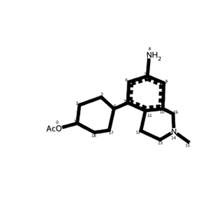 CC(=O)OC1CCC(c2cc(N)cc3c2CCN(C)C3)CC1